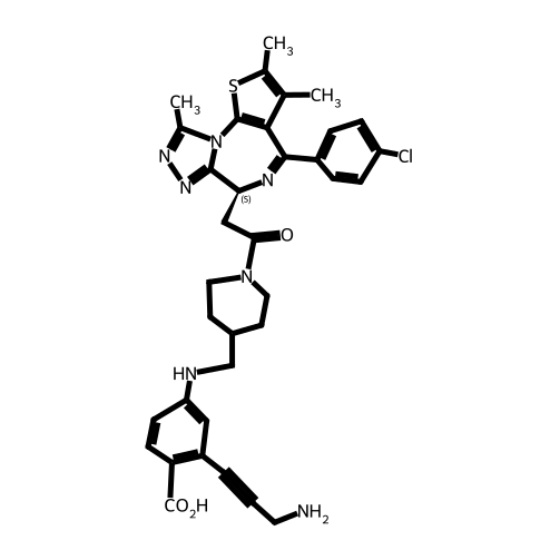 Cc1sc2c(c1C)C(c1ccc(Cl)cc1)=N[C@@H](CC(=O)N1CCC(CNc3ccc(C(=O)O)c(C#CCN)c3)CC1)c1nnc(C)n1-2